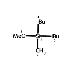 CCC(C)[Si](C)(OC)C(C)CC